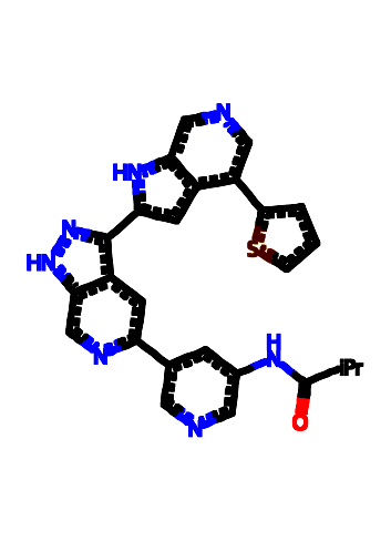 CC(C)C(=O)Nc1cncc(-c2cc3c(-c4cc5c(-c6cccs6)cncc5[nH]4)n[nH]c3cn2)c1